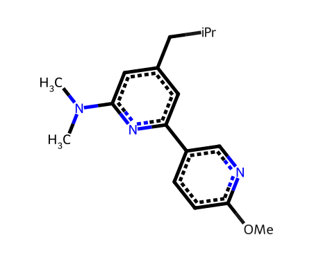 COc1ccc(-c2cc(CC(C)C)cc(N(C)C)n2)cn1